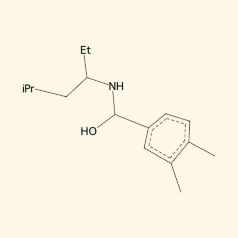 CCC(CC(C)C)NC(O)c1ccc(C)c(C)c1